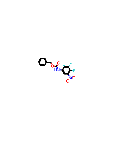 O=C(Nc1cc([N+](=O)[O-])c(F)c(F)c1F)OCc1ccccc1